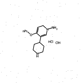 CCCOC1=CCN(N)C=C1C1CCNCC1.Cl.Cl